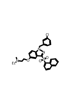 CCN(C)CCOc1ccc2c(c1)c(S(=O)(=O)c1cccc3ccccc13)nn2Cc1cccc(Cl)c1